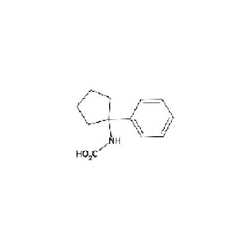 O=C(O)NC1(c2ccccc2)CCCC1